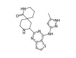 Cc1cc(Nc2nc(C3CC4(CCCNC4=O)CCN3)nc3ccsc23)n[nH]1